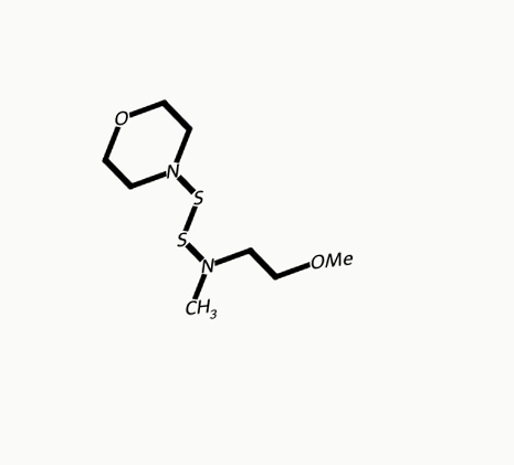 COCCN(C)SSN1CCOCC1